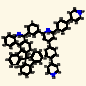 c1cc(-c2cc(-c3ccc(-c4ccncc4)cc3)cc(-c3ccc(-c4ccncc4)cc3)n2)cc(-c2nc3ccccc3c3c4c(ccc23)C2(c3ccccc3-c3ccccc32)c2ccccc2-4)c1